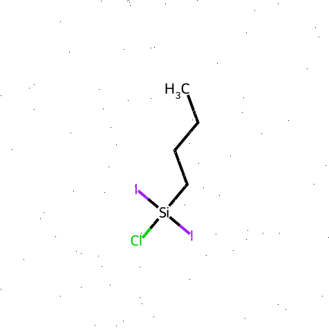 CCCC[Si](Cl)(I)I